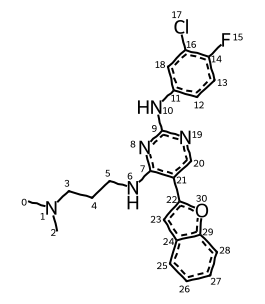 CN(C)CCCNc1nc(Nc2ccc(F)c(Cl)c2)ncc1-c1cc2ccccc2o1